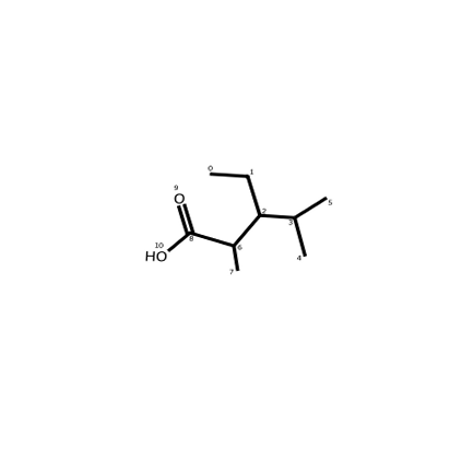 CCC(C(C)C)C(C)C(=O)O